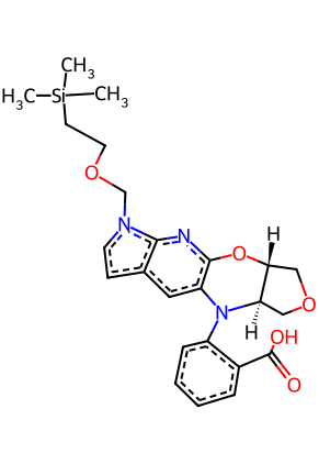 C[Si](C)(C)CCOCn1ccc2cc3c(nc21)O[C@@H]1COC[C@H]1N3c1ccccc1C(=O)O